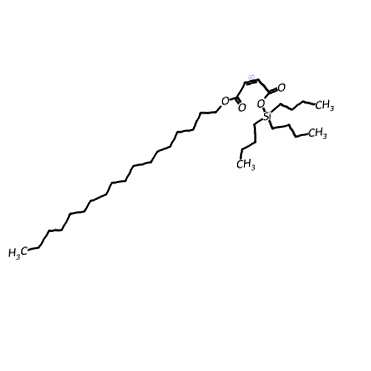 CCCCCCCCCCCCCCCCCCOC(=O)/C=C\C(=O)O[Si](CCCC)(CCCC)CCCC